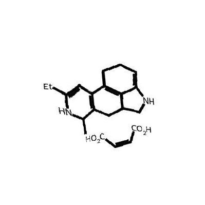 CCC1=CC2=C(CC3CNC4=CCCC2=C43)C(C)N1.O=C(O)/C=C\C(=O)O